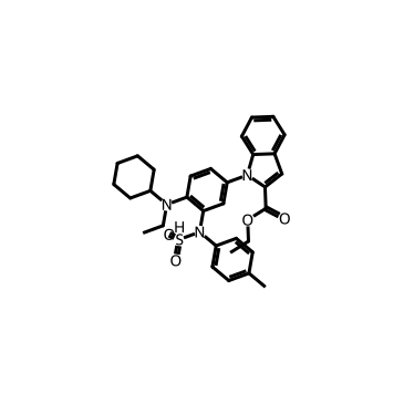 CCOC(=O)c1cc2ccccc2n1-c1ccc(N(CC)C2CCCCC2)c(N(c2ccc(C)cc2)[SH](=O)=O)c1